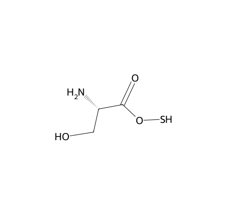 N[C@@H](CO)C(=O)OS